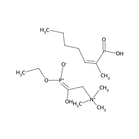 CCCCC=C(C)C(=O)O.CCO/[P+]([O-])=C(\O)C[N+](C)(C)C